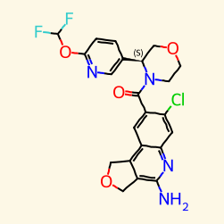 Nc1nc2cc(Cl)c(C(=O)N3CCOC[C@@H]3c3ccc(OC(F)F)nc3)cc2c2c1COC2